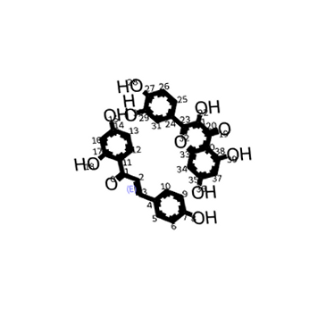 O=C(/C=C/c1ccc(O)cc1)c1ccc(O)cc1O.O=c1c(O)c(-c2ccc(O)c(O)c2)oc2cc(O)cc(O)c12